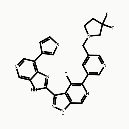 Fc1c(-c2cncc(CN3CCC(F)(F)C3)c2)ncc2[nH]nc(-c3nc4c(-c5ccsc5)cncc4[nH]3)c12